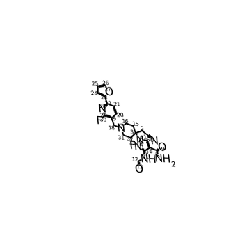 N#CCC1(n2cc(C(N)=O)c(NC=O)n2)CCN(Cc2ccc(-c3ccco3)nc2F)CC1F